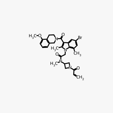 C=CC(=O)N1CC(N(C)C(=O)Cn2c(C)c(C(=O)N3CCc4c(cccc4OC)C3)c3cc(Br)cc(C)c32)C1